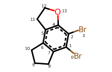 Brc1c(Br)c2c(c3c1CCC3)CCO2